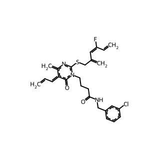 C=C/C=c1\c(=C)nc(SCC(=C)/C=C(/F)C=C)n(CCCC(=O)NCc2cccc(Cl)c2)c1=O